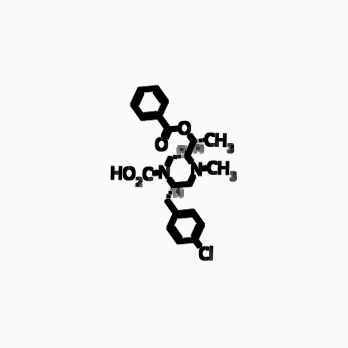 C[C@@H](OC(=O)c1ccccc1)[C@H]1CN(C(=O)O)[C@@H](Cc2ccc(Cl)cc2)CN1C